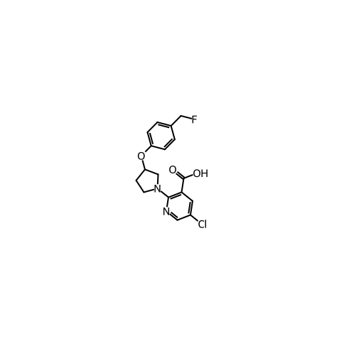 O=C(O)c1cc(Cl)cnc1N1CCC(Oc2ccc(CF)cc2)C1